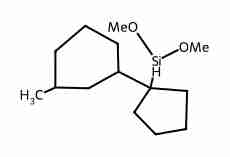 CO[SiH](OC)C1(C2CCCC(C)C2)CCCC1